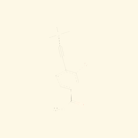 COC(=O)c1ccc(C#C[Si](C)(C)C)c(Br)c1